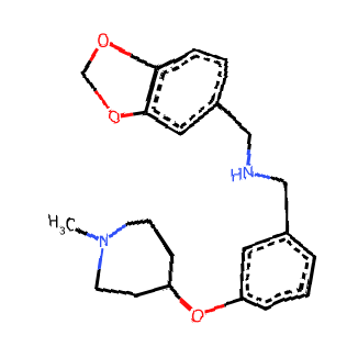 CN1CCC(Oc2cccc(CNCc3ccc4c(c3)OCO4)c2)CC1